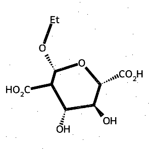 CCO[C@@H]1O[C@H](C(=O)O)[C@@H](O)[C@H](O)C1C(=O)O